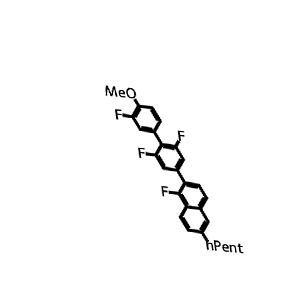 CCCCCc1ccc2c(F)c(-c3cc(F)c(-c4ccc(OC)c(F)c4)c(F)c3)ccc2c1